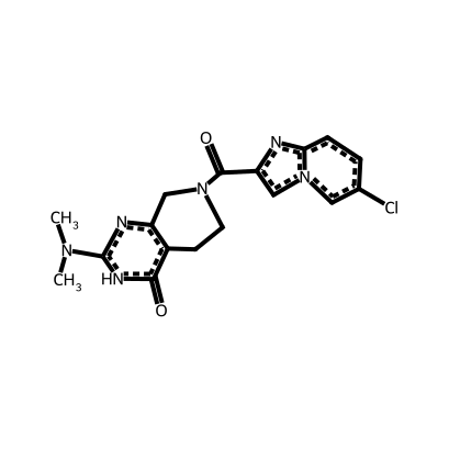 CN(C)c1nc2c(c(=O)[nH]1)CCN(C(=O)c1cn3cc(Cl)ccc3n1)C2